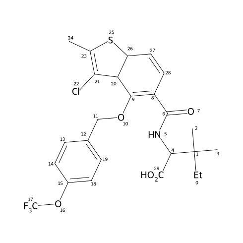 CCC(C)(C)C(NC(=O)C1=C(OCc2ccc(OC(F)(F)F)cc2)C2C(Cl)=C(C)SC2C=C1)C(=O)O